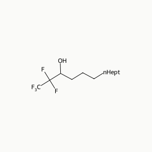 CCCCCCCCCCC(O)C(F)(F)C(F)(F)F